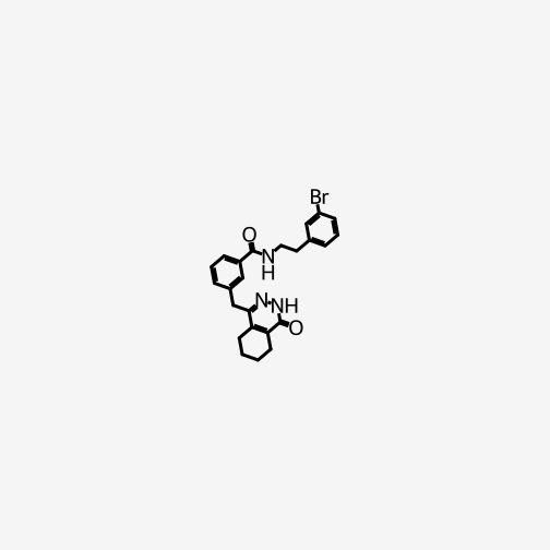 O=C(NCCc1cccc(Br)c1)c1cccc(Cc2n[nH]c(=O)c3c2CCCC3)c1